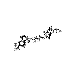 COCCN(C)Cc1cn(CCCCCCSc2ccnc3cc(C(F)(F)F)ccc23)nn1